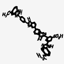 Cc1ccc2[nH]c(-c3ccc(-c4nc5cc(-c6ccc7[nH]c(-c8cc(-c9nc%10cc(C)ccc%10[nH]9)cc(S(=O)(=O)O)c8)nc7c6)ccc5[nH]4)cc3)nc2c1